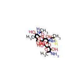 CC(=O)NC1[C@H](O[C@@H]2C(CO)O[C@@H](O[C@@H]3C(CO)O[C@@H](C)C(N)[C@H]3O)C(NCC(C)S)[C@H]2O)OC(CO)[C@H](C)[C@@H]1O